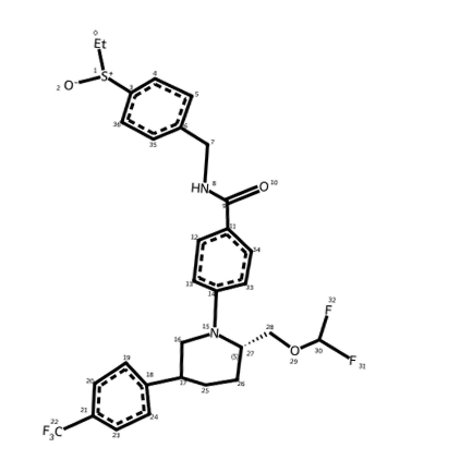 CC[S+]([O-])c1ccc(CNC(=O)c2ccc(N3CC(c4ccc(C(F)(F)F)cc4)CC[C@H]3COC(F)F)cc2)cc1